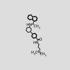 C[C@@H](NC1CCCC(c2ccc(C(=O)NCCCN(C)C)cc2)C1)c1cccc2ccccc12